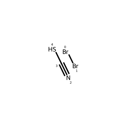 BrBr.N#CS